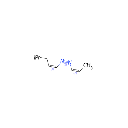 C\C=C/N=N\C=C/CC(C)C